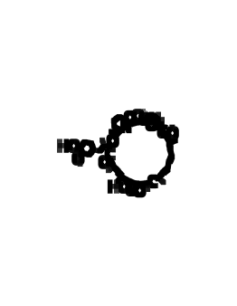 CO[C@H]1C[C@@H]2CC[C@@H](C)[C@@](O)(O2)C(=O)C(=O)N2CCCCC2C(C)OC([C@H](C)C[C@@H]2CC[C@@H](O)[C@H](OC)C2)CC(=O)[C@H](C)/C=C(\C)[C@@H](O)[C@@H](OC)C(=O)[C@H](C)C[C@H](C)/C=C/C=C/C=C/1C